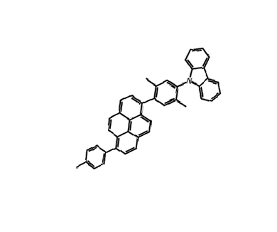 Cc1ccc(-c2ccc3ccc4c(-c5cc(C)c(-n6c7ccccc7c7ccccc76)cc5C)ccc5ccc2c3c54)cc1